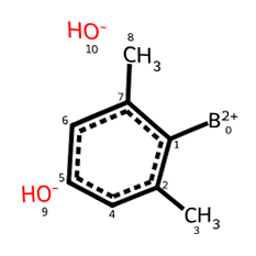 [B+2]c1c(C)cccc1C.[OH-].[OH-]